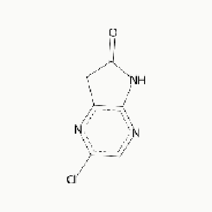 O=C1Cc2nc(Cl)cnc2N1